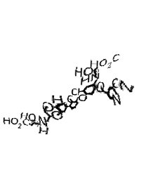 Cc1c(COc2cc(OCc3cncc(C#N)c3)c(CNC[C@@H](O)CC(=O)O)cc2Cl)cccc1-c1ccc2c(c1)OC(CNC[C@@H](O)CC(=O)O)CO2